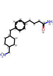 NCC1CCC(Cc2ccc(CCCC(N)=O)cc2)CC1